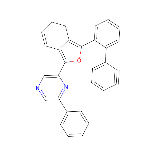 c1cccc(-c2ccccc2-c2oc(-c3cncc(-c4ccccc4)n3)c3c2CCC=C3)c#1